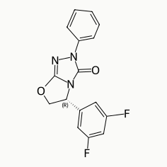 O=c1n(-c2ccccc2)nc2n1[C@H](c1cc(F)cc(F)c1)CO2